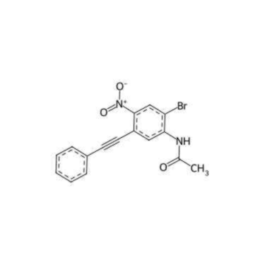 CC(=O)Nc1cc(C#Cc2ccccc2)c([N+](=O)[O-])cc1Br